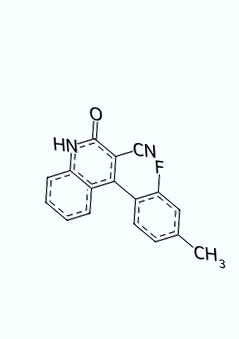 Cc1ccc(-c2c(C#N)c(=O)[nH]c3ccccc23)c(F)c1